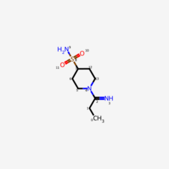 CCC(=N)N1CCC(S(N)(=O)=O)CC1